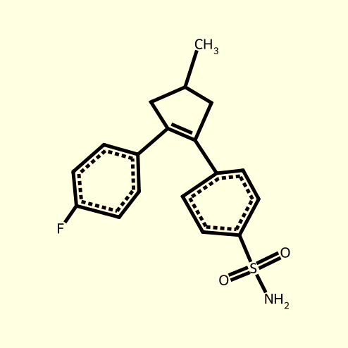 CC1CC(c2ccc(F)cc2)=C(c2ccc(S(N)(=O)=O)cc2)C1